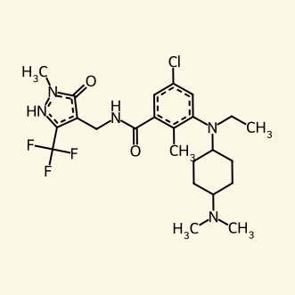 CCN(c1cc(Cl)cc(C(=O)NCc2c(C(F)(F)F)[nH]n(C)c2=O)c1C)C1CCC(N(C)C)CC1